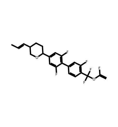 C=C(F)OC(F)(F)c1ccc(-c2c(F)cc(C3CCC(/C=C/C)CO3)cc2F)cc1F